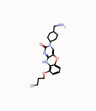 NCC1CCC(n2cc3c(nc2=O)Nc2c(OCCCCl)cccc2O3)CC1